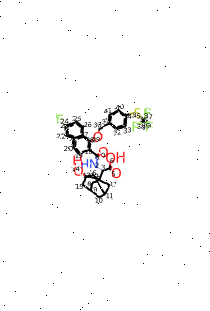 O=C(N[C@H](C(=O)O)C12CC3CC(CC(O)(C3)C1)C2)c1ccc2cc(F)ccc2c1OCc1ccc(SC(F)(F)F)cc1